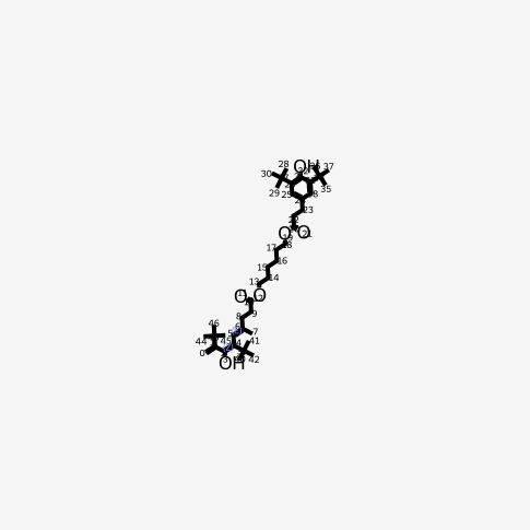 C=C(/C(O)=C(\C=C(/C)CCC(=O)OCCCCCCOC(=O)CCc1cc(C(C)(C)C)c(O)c(C(C)(C)C)c1)C(C)(C)C)C(C)(C)C